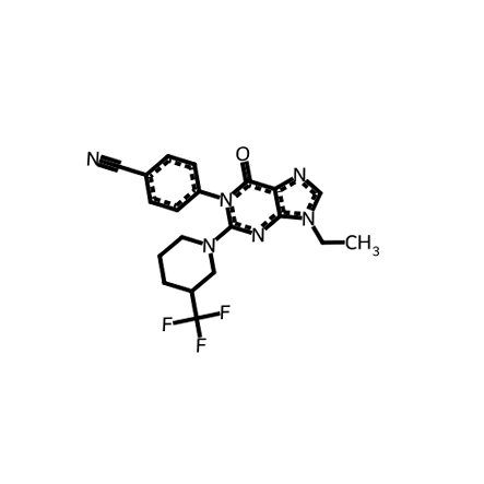 CCn1cnc2c(=O)n(-c3ccc(C#N)cc3)c(N3CCCC(C(F)(F)F)C3)nc21